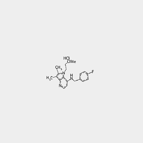 COCCn1c(C)c(C)c2nccc(NCc3ccc(F)cc3)c21.Cl